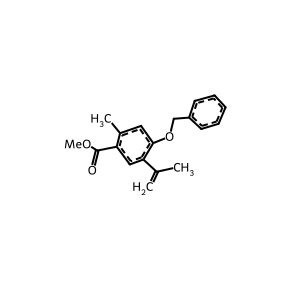 C=C(C)c1cc(C(=O)OC)c(C)cc1OCc1ccccc1